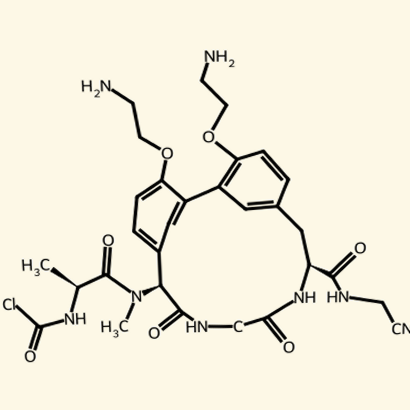 C[C@H](NC(=O)Cl)C(=O)N(C)[C@@H]1C(=O)NCC(=O)N[C@H](C(=O)NCC#N)Cc2ccc(OCCN)c(c2)-c2cc1ccc2OCCN